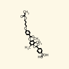 C=CC(=O)OCCCCOc1ccc(C(=O)Oc2cc(C)c(OC(=O)c3ccc(B(O)O)cc3)c(C)c2C)cc1